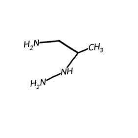 CC(CN)NN